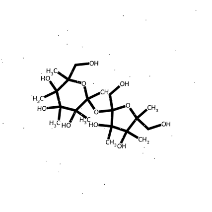 CC1(CO)OC(CO)(OC2(C)OC(C)(CO)C(C)(O)C(C)(O)C2(C)O)C(C)(O)C1(C)O